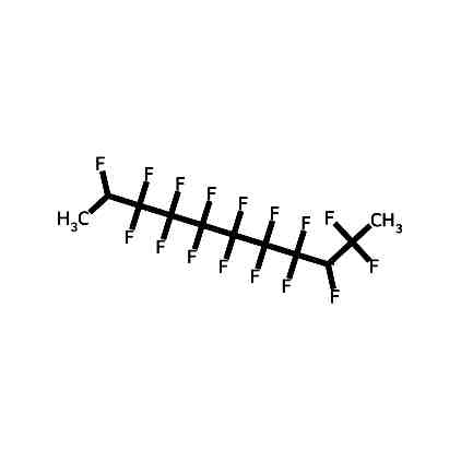 CC(F)C(F)(F)C(F)(F)C(F)(F)C(F)(F)C(F)(F)C(F)(F)[C](F)C(C)(F)F